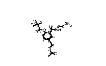 CC(=O)OCc1ccc(OC(=O)C(C)(C)C)c(C(=O)NCCN)c1